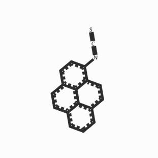 S=C=Nc1ccc2ccc3cccc4ccc1c2c34